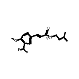 COc1ccc(C=CC(=O)NCCC(C)C)cc1C(F)F